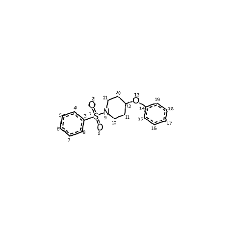 O=S(=O)(c1ccccc1)N1CCC(Oc2ccccc2)CC1